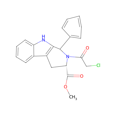 COC(=O)[C@@H]1Cc2c([nH]c3ccccc23)C(c2ccccc2)N1C(=O)CCl